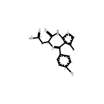 Cc1csc2c1C(c1ccc(Cl)cc1)=NC(CC(=O)O)C(=O)N2